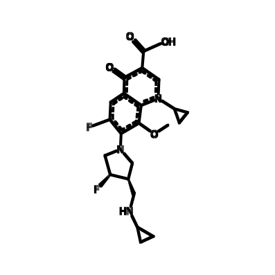 COc1c(N2C[C@@H](CNC3CC3)[C@@H](F)C2)c(F)cc2c(=O)c(C(=O)O)cn(C3CC3)c12